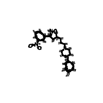 O=[N+]([O-])c1cccc(C2=NOC(CCCN3CCN(c4ccccc4)CC3)C2)c1